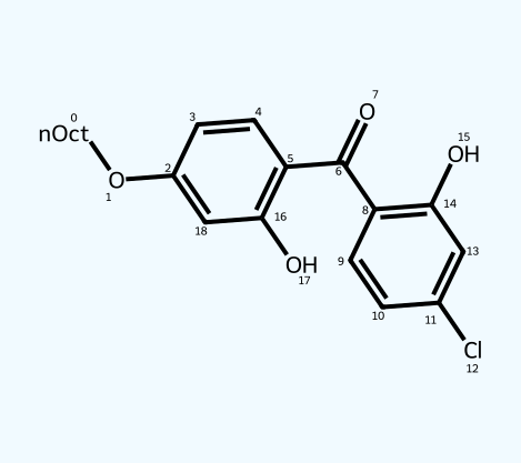 CCCCCCCCOc1ccc(C(=O)c2ccc(Cl)cc2O)c(O)c1